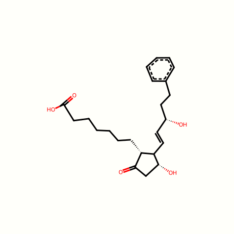 O=C(O)CCCCCC[C@H]1C(=O)C[C@@H](O)C1/C=C/[C@@H](O)CCc1ccccc1